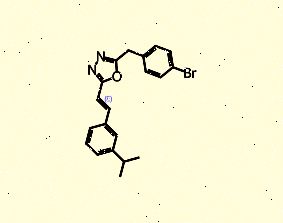 CC(C)c1cccc(/C=C/c2nnc(Cc3ccc(Br)cc3)o2)c1